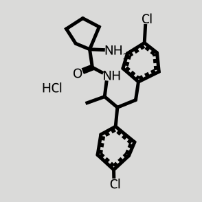 CC(NC(=O)C1(N)CCCC1)C(Cc1ccc(Cl)cc1)c1ccc(Cl)cc1.Cl